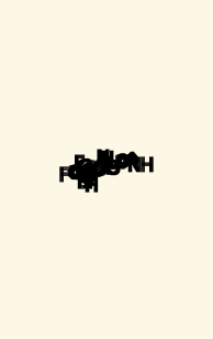 CCn1c(Oc2ccc3cc[nH]c3c2)nnc1[C@@H](C)NS(=O)(=O)c1c(F)cc(F)cc1Br